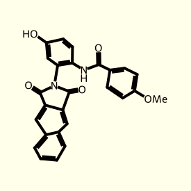 COc1ccc(C(=O)Nc2ccc(O)cc2N2C(=O)c3cc4ccccc4cc3C2=O)cc1